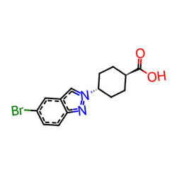 O=C(O)[C@H]1CC[C@H](n2cc3cc(Br)ccc3n2)CC1